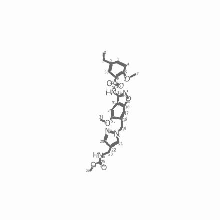 CCc1ccc(OC)c(S(=O)(=O)Nc2noc3cc(Cn4cc(CNC(=O)OC)cn4)c(OC)cc23)c1